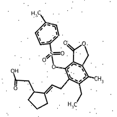 CCc1c(C)c2c(c(OS(=O)(=O)c3ccc(C)cc3)c1CC=C1CCCC1CC(=O)O)C(=O)OC2